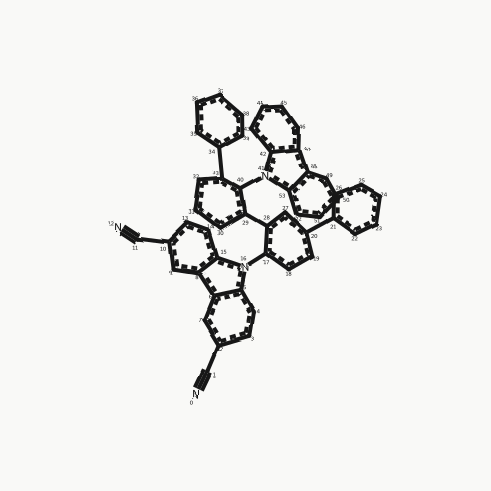 N#Cc1ccc2c(c1)c1cc(C#N)ccc1n2-c1ccc(-c2ccccc2)cc1-c1cccc(-c2ccccc2)c1-n1c2ccccc2c2ccccc21